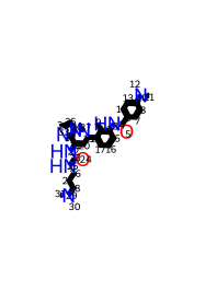 Cc1c(NC(=O)c2ccc(N(C)C)cc2)cccc1-c1cc(NC(=O)NCCCN(C)C)c2nccn2n1